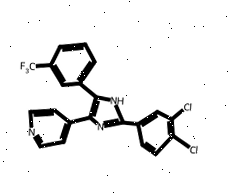 FC(F)(F)c1cccc(-c2[nH]c(-c3ccc(Cl)c(Cl)c3)nc2-c2ccncc2)c1